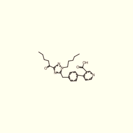 CCCCCn1nc(C(=O)CCCC)nc1Cc1ccc(-c2ccncc2C(=O)O)cc1